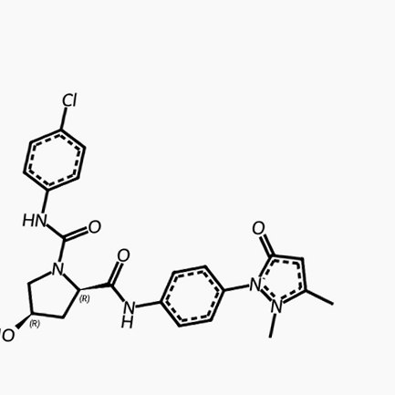 Cc1cc(=O)n(-c2ccc(NC(=O)[C@H]3C[C@@H](O)CN3C(=O)Nc3ccc(Cl)cc3)cc2)n1C